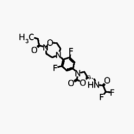 CCC(=O)N1CCN(c2c(F)cc(N3C[C@H](CNC(=O)C(F)F)OC3=O)cc2F)CCO1